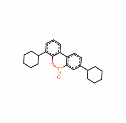 O=[PH]1Oc2c(cccc2C2CCCCC2)-c2ccc(C3CCCCC3)cc21